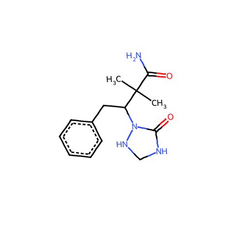 CC(C)(C(N)=O)C(Cc1ccccc1)N1NCNC1=O